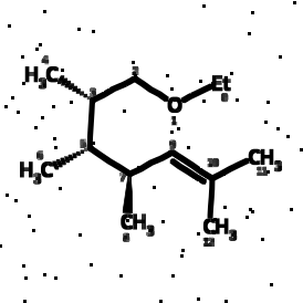 CCOC[C@@H](C)[C@@H](C)[C@H](C)C=C(C)C